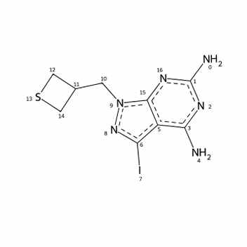 Nc1nc(N)c2c(I)nn(CC3CSC3)c2n1